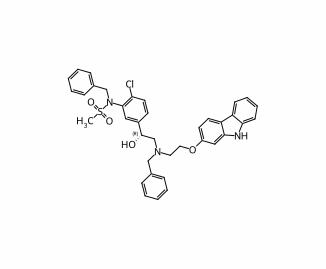 CS(=O)(=O)N(Cc1ccccc1)c1cc([C@@H](O)CN(CCOc2ccc3c(c2)[nH]c2ccccc23)Cc2ccccc2)ccc1Cl